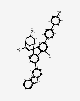 CC1=CC2(c3ccc(-c4ccc5sc6ccccc6c5c4)cc3-c3c(Cl)cc(-c4ccc(-c5ccc(Br)cc5)cc4)cc32)C2CC(C)CC1C2